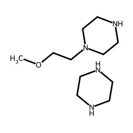 C1CNCCN1.COCCN1CCNCC1